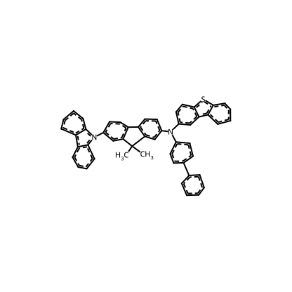 CC1(C)c2cc(N(c3ccc(-c4ccccc4)cc3)c3ccc4sc5ccccc5c4c3)ccc2-c2ccc(-n3c4ccccc4c4ccccc43)cc21